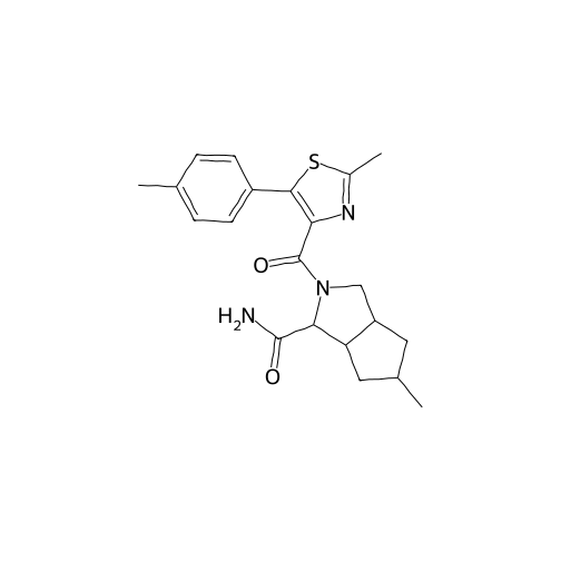 Cc1ccc(-c2sc(C)nc2C(=O)N2CC3CC(C)CC3C2C(N)=O)cc1